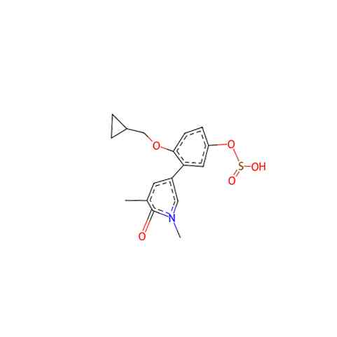 Cc1cc(-c2cc(OS(=O)O)ccc2OCC2CC2)cn(C)c1=O